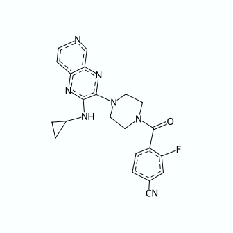 N#Cc1ccc(C(=O)N2CCN(c3nc4cnccc4nc3NC3CC3)CC2)c(F)c1